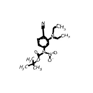 CCN(CC)c1cc(N(C(=O)OC(C)(C)C)[N+](=O)[O-])ccc1C#N